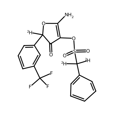 [2H]C1(c2cccc(C(F)(F)F)c2)OC(N)=C(OS(=O)(=O)C([2H])([2H])c2ccccc2)C1=O